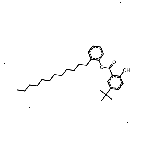 CCCCCCCCCCCCc1ccccc1OC(=O)c1cc(C(C)(C)C)ccc1O